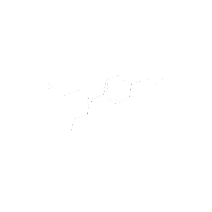 CCOC(=O)c1ccc(N(CCBr)CCBr)cc1